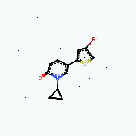 O=c1ccc(-c2cc(Br)cs2)cn1C1CC1